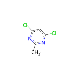 [CH2]c1nc(Cl)cc(Cl)n1